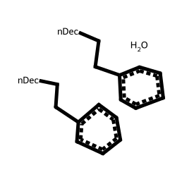 CCCCCCCCCCCCc1ccccc1.CCCCCCCCCCCCc1ccccc1.O